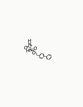 O=C(N[C@H]1CNC1=O)OCCc1ccc(-c2ccccc2)cc1